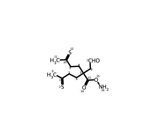 CC(=S)CCC(CC=O)(CCC(C)=S)C(=O)ON